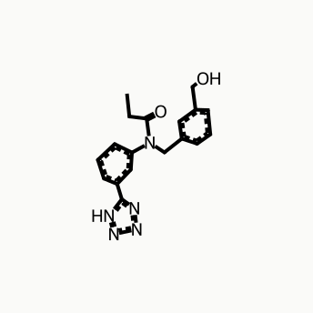 CCC(=O)N(Cc1cccc(CO)c1)c1cccc(-c2nnn[nH]2)c1